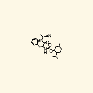 CC1CCC(C(C)C)C(OC(=O)NC(Cc2ccccc2)C(=O)NC(C)C#N)C1